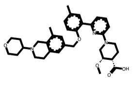 CO[C@@H]1CN(c2cccc(-c3cc(C)ccc3OCc3cc(C)c4c(c3)CCN(C3CCOCC3)C4)n2)CC[C@@H]1C(=O)O